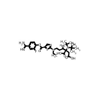 CCN(CCC(=O)C(CC(=O)O)(C(=O)O)N(C(C)(C)C)C(C)(C)C)c1ncc(C(=O)Oc2ccc(C(=N)N)cc2F)s1